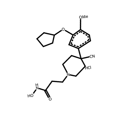 COc1ccc(C2(C#N)CCN(CCC(=O)NO)CC2)cc1OC1CCCC1.Cl